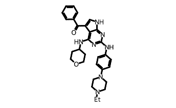 CCN1CCN(c2ccc(Nc3nc(NC4CCOCC4)c4c(C(=O)c5ccccc5)c[nH]c4n3)cc2)CC1